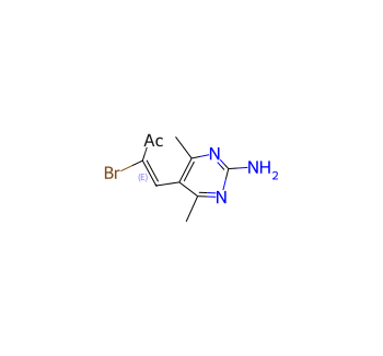 CC(=O)/C(Br)=C\c1c(C)nc(N)nc1C